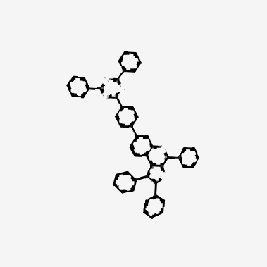 c1ccc(-c2nc(-c3ccccc3)nc(-c3ccc(-c4ccc5c(c4)nc(-c4ccccc4)c4sc(-c6ccccc6)c(-c6ccccc6)c45)cc3)n2)cc1